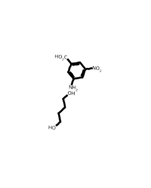 Nc1cc(C(=O)O)cc([N+](=O)[O-])c1.OCCCCO